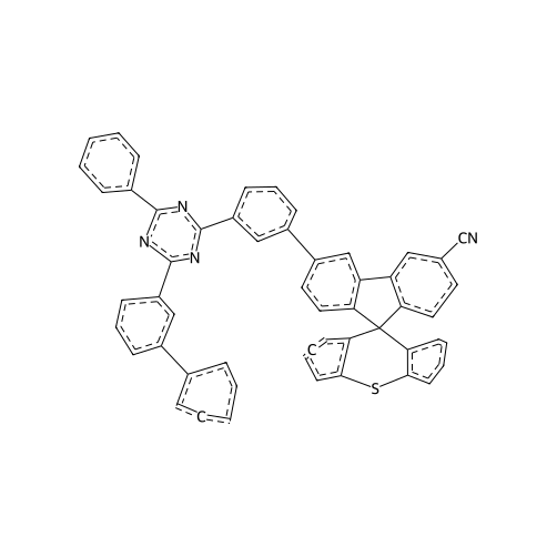 N#Cc1ccc2c(c1)-c1cc(-c3cccc(-c4nc(-c5ccccc5)nc(-c5cccc(-c6ccccc6)c5)n4)c3)ccc1C21c2ccccc2Sc2ccccc21